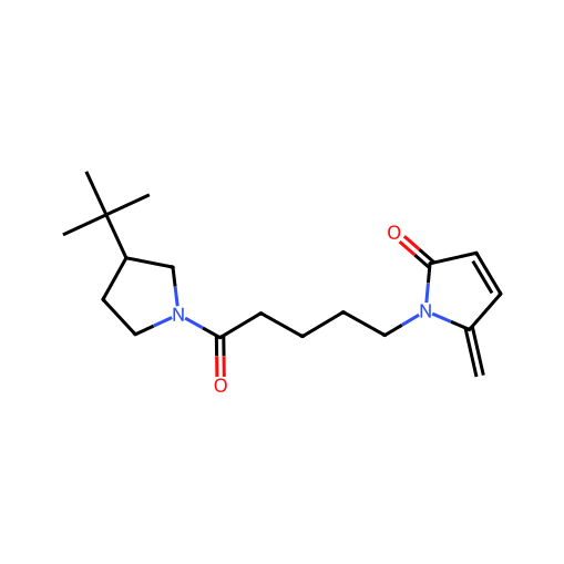 C=C1C=CC(=O)N1CCCCC(=O)N1CCC(C(C)(C)C)C1